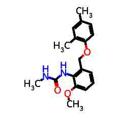 CNC(=O)Nc1c(COc2ccc(C)cc2C)cccc1OC